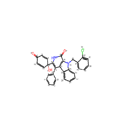 O=C1C=CC(O)(c2[nH]c(=O)c3c(c2-c2ccccc2)c2ccccc2n3Cc2ccccc2Cl)C=C1